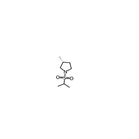 CC(C)S(=O)(=O)N1CC[C@@H](C)C1